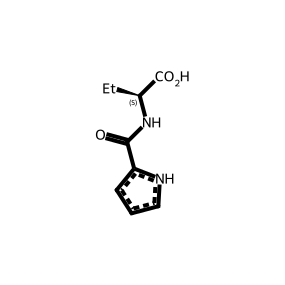 CC[C@H](NC(=O)c1ccc[nH]1)C(=O)O